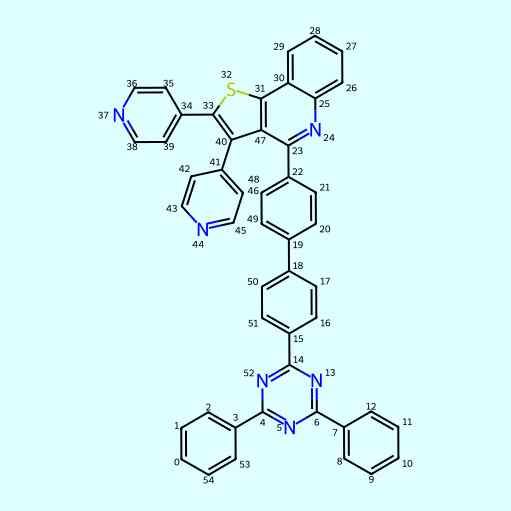 c1ccc(-c2nc(-c3ccccc3)nc(-c3ccc(-c4ccc(-c5nc6ccccc6c6sc(-c7ccncc7)c(-c7ccncc7)c56)cc4)cc3)n2)cc1